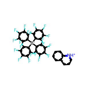 Fc1c(F)c(F)c([B-](c2c(F)c(F)c(F)c(F)c2F)(c2c(F)c(F)c(F)c(F)c2F)c2c(F)c(F)c(F)c(F)c2F)c(F)c1F.c1ccc2[nH+]cccc2c1